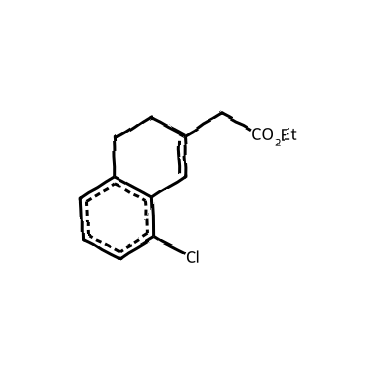 CCOC(=O)CC1=Cc2c(Cl)cccc2CC1